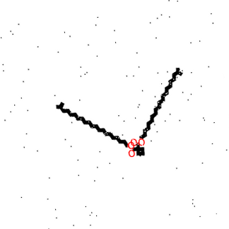 CC(C)CCCCCCCCCCCCCCCCCCCOC(=O)C1(C(=O)OCCCCCCCCCCCCCCCCCCCC(C)C)CCC1